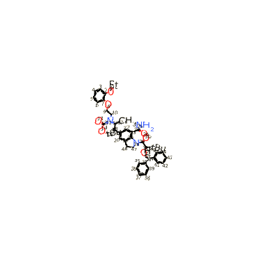 CCOc1ccccc1OCCN(C(=O)OC(C)(C)C)C(C)Cc1cc2c(c(C(N)=O)c1)N(C(=O)C(O[SiH](c1ccccc1)c1ccccc1)C(C)(C)C)CC2